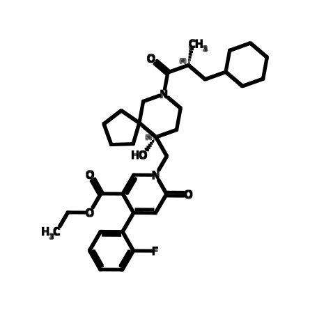 CCOC(=O)c1cn(C[C@]2(O)CCN(C(=O)[C@H](C)CC3CCCCC3)CC23CCCC3)c(=O)cc1-c1ccccc1F